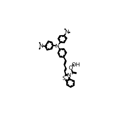 C=C(OO)[n+]1c(/C=C/C=C/c2ccc(N(c3ccc(N(C)C)cc3)c3ccc(N(C)C)cc3)cc2)sc2ccccc21